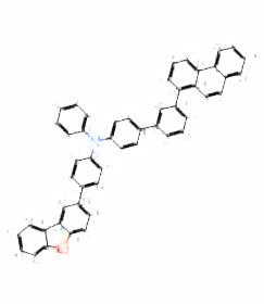 c1ccc(N(c2ccc(-c3cccc(-c4cccc5c4ccc4ccccc45)c3)cc2)c2ccc(-c3ccc4oc5ccccc5c4c3)cc2)cc1